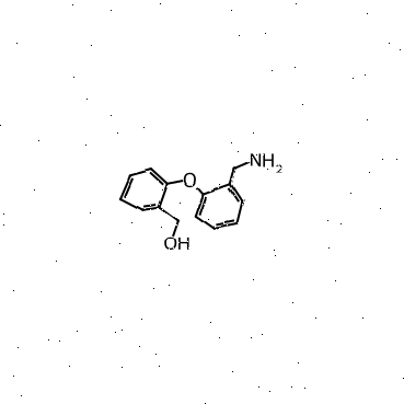 NCc1ccccc1Oc1ccccc1CO